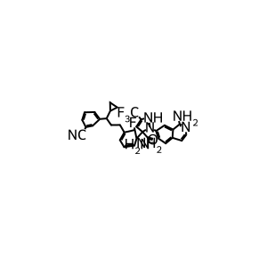 N#Cc1cccc(C(CCC2=CC=CC(N)(C3(C(N)=O)C=C(C(F)(F)F)NN3c3ccc4ccnc(N)c4c3)C2F)C2CC2)c1